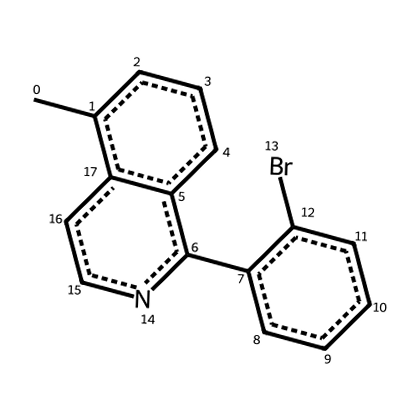 Cc1cccc2c(-c3ccccc3Br)nccc12